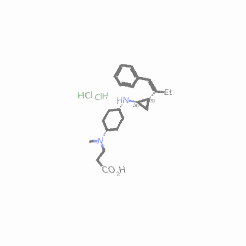 CCC(=Cc1ccccc1)[C@@H]1C[C@H]1N[C@H]1CC[C@@H](N(C)CCC(=O)O)CC1.Cl.Cl